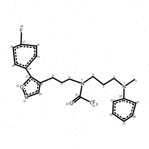 CN(CCCN(CCCc1cnoc1-c1ccc(F)cc1)C(=O)C(F)(F)F)c1ccccc1